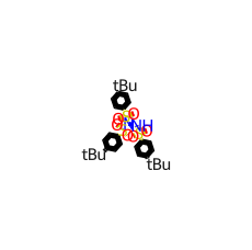 CC(C)(C)c1ccc(S(=O)(=O)NN(S(=O)(=O)c2ccc(C(C)(C)C)cc2)S(=O)(=O)c2ccc(C(C)(C)C)cc2)cc1